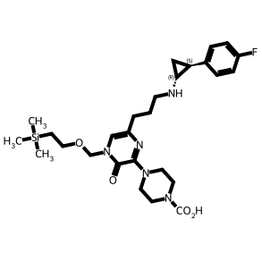 C[Si](C)(C)CCOCn1cc(CCCN[C@@H]2C[C@H]2c2ccc(F)cc2)nc(N2CCN(C(=O)O)CC2)c1=O